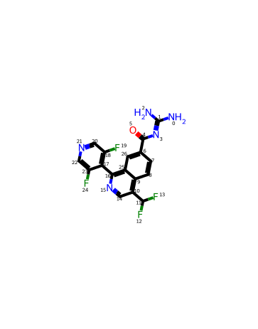 NC(N)=NC(=O)c1ccc2c(C(F)F)cnc(-c3c(F)cncc3F)c2c1